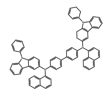 C1=CCCC(n2c3c(c4ccccc42)C=C(N(c2ccc(-c4ccc(N(c5ccc6c(c5)c5ccccc5n6-c5ccccc5)c5cccc6ccccc56)cc4)cc2)c2cccc4ccccc24)CC3)=C1